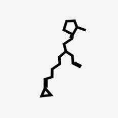 C=CCC(CC=C1CCCC1C)CCCCC=C1CC1